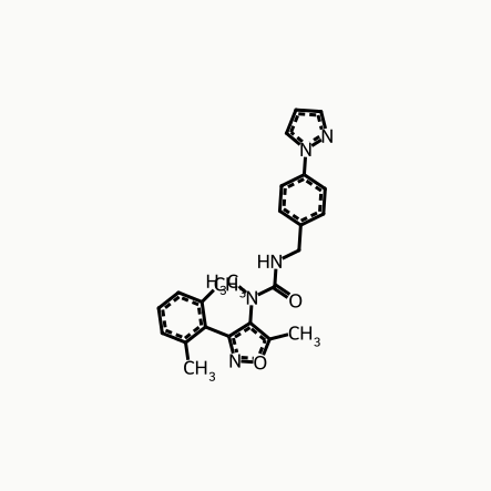 Cc1cccc(C)c1-c1noc(C)c1N(C)C(=O)NCc1ccc(-n2cccn2)cc1